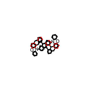 Cc1ccccc1C1c2ccccc2Cc2cccc(-c3c4cc(N5c6ccccc6Oc6ccccc65)ccc4c(-c4cccc5c4C4c6ccccc6C5c5ccccc54)c4cc(N5c6ccccc6Oc6ccccc65)ccc34)c21